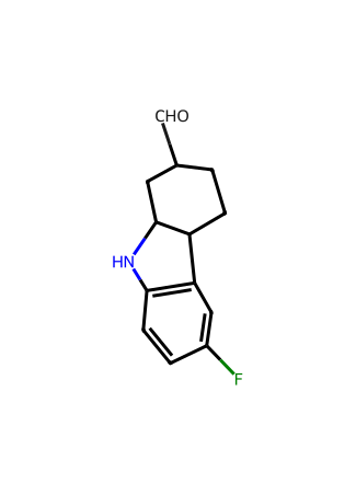 O=CC1CCC2c3cc(F)ccc3NC2C1